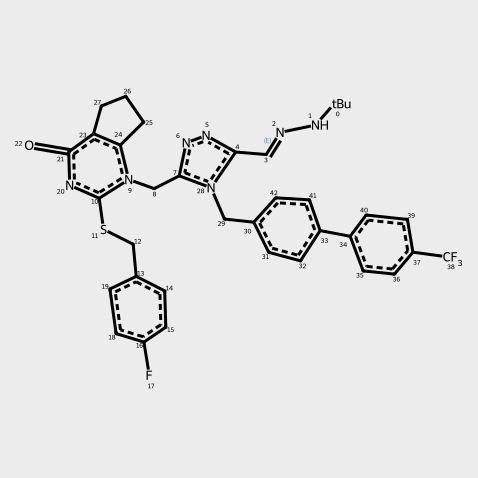 CC(C)(C)N/N=C/c1nnc(Cn2c(SCc3ccc(F)cc3)nc(=O)c3c2CCC3)n1Cc1ccc(-c2ccc(C(F)(F)F)cc2)cc1